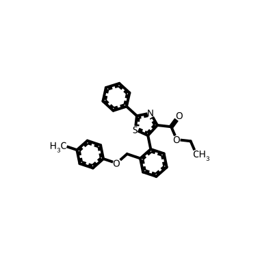 CCOC(=O)c1nc(-c2ccccc2)sc1-c1ccccc1COc1ccc(C)cc1